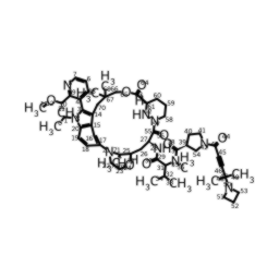 CCn1c(-c2cccnc2[C@H](C)OC)c2c3cc(ccc31)N1CCO[C@@H](C[C@H](NC(=O)C(C(C)C)N(C)C(=O)[C@H]3CCN(C(=O)C#CC(C)(C)N4CCC4)C3)C(=O)N3CCC[C@H](N3)C(=O)OCC(C)(C)C2)[C@H]1C